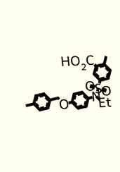 CCN(c1ccc(OCc2ccc(C)cc2)cc1)S(=O)(=O)c1ccc(C)c(C(=O)O)c1